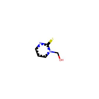 OCn1cccnc1=S